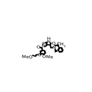 COCCCOc1cc(C(=O)N(CC2CNCC2CN(C(=O)[C@H](C)c2ccccc2)C2CC2)C(C)C)ccc1OC